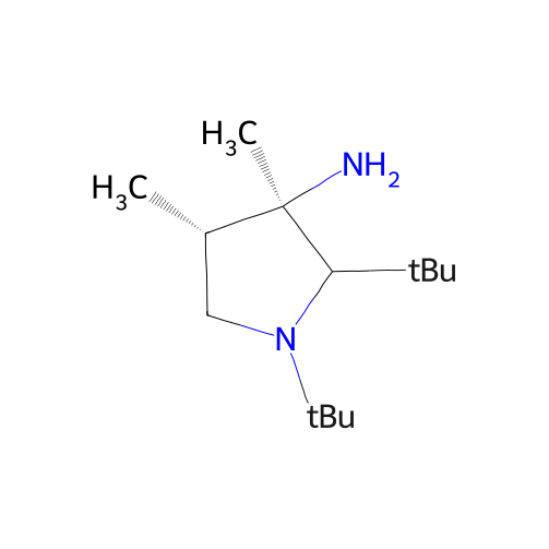 C[C@H]1CN(C(C)(C)C)C(C(C)(C)C)[C@]1(C)N